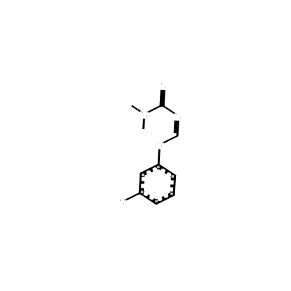 CN(C)C(=N)/N=C\Nc1cccc(N)c1